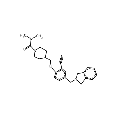 CN(C)C(=O)N1CCC(COc2ccc(CN3Cc4ccccc4C3)cc2C#N)CC1